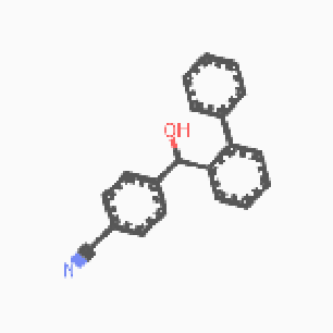 N#Cc1ccc(C(O)c2ccccc2-c2ccccc2)cc1